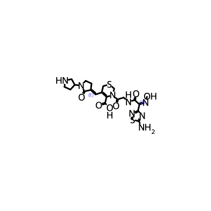 Nc1nc(/C(=N/O)C(=O)NCC(=O)N2CSCC(/C=C3\CCN(C4CCNC4)C3=O)=C2C(=O)O)ns1